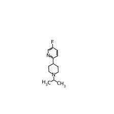 CC(C)N1CCC(c2ccc(F)cn2)CC1